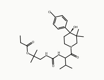 CCC(=O)OC(C)(C)CNC(=O)NC(C(=O)N1CC[C@](O)(c2ccc(Cl)cc2)C(C)(C)C1)C(C)C